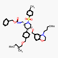 COCCCN1CCOc2ccc(CO[C@H]3CN(S(=O)(=O)c4ccc(C)cc4)[C@@H](CNC(=O)OCc4ccccc4)C[C@@H]3c3ccc(COC[C@@H](C)COC)cc3)cc21